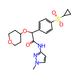 Cn1ccc(NC(=O)C(OC2CCOCC2)c2ccc(S(=O)(=O)C3CC3)cc2)n1